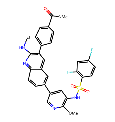 CCNc1nc2ccc(-c3cnc(OC)c(NS(=O)(=O)c4ccc(F)cc4F)c3)cc2cc1-c1ccc(C(=O)NC)cc1